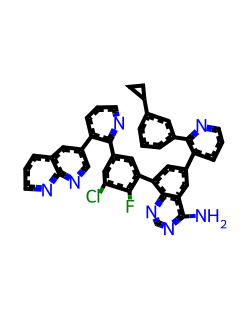 Nc1ncnc2c(-c3cc(-c4ncccc4-c4cnc5ncccc5c4)cc(Cl)c3F)cc(-c3cccnc3-c3cccc(C4CC4)c3)cc12